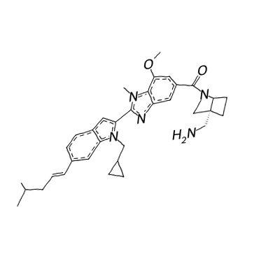 COc1cc(C(=O)N2C[C@]3(CN)CCC23)cc2nc(-c3cc4ccc(/C=C/CC(C)C)cc4n3CC3CC3)n(C)c12